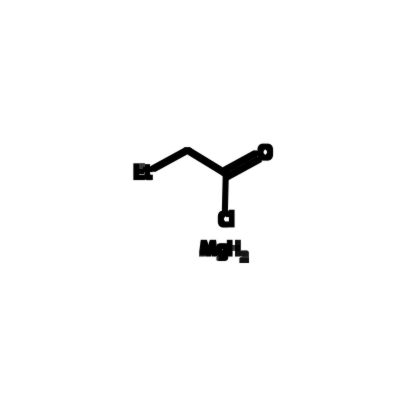 CCCC(=O)Cl.[MgH2]